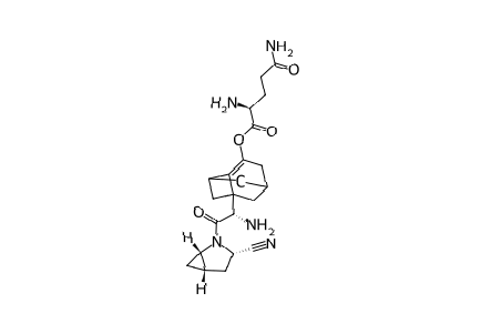 N#C[C@@H]1C[C@@H]2C[C@@H]2N1C(=O)[C@@H](N)C12CC3CC(OC(=O)[C@@H](N)CCC(N)=O)=C1C(C3)C2